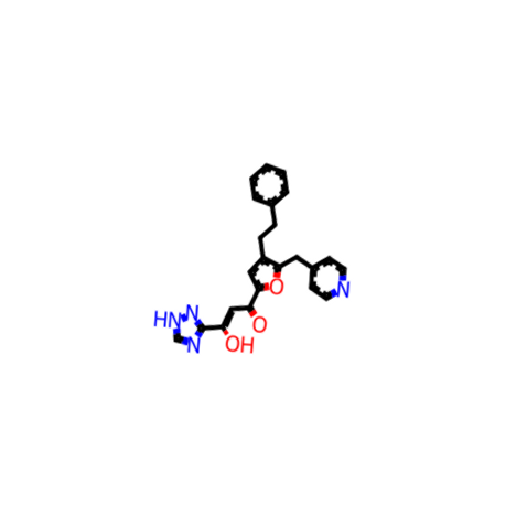 O=C(C=C(O)c1nc[nH]n1)c1cc(CCc2ccccc2)c(Cc2ccncc2)o1